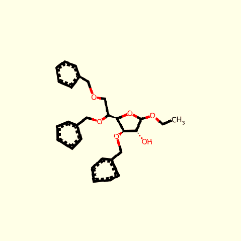 CCOC1O[C@H](C(COCc2ccccc2)OCc2ccccc2)[C@H](OCc2ccccc2)[C@H]1O